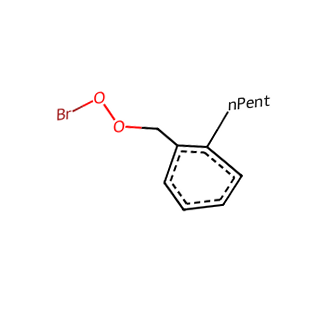 CCCCCc1ccccc1COOBr